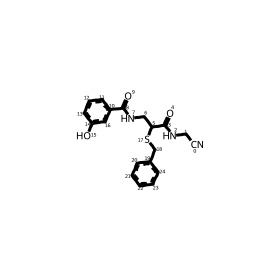 N#CCNC(=O)C(CNC(=O)c1cccc(O)c1)SCc1ccccc1